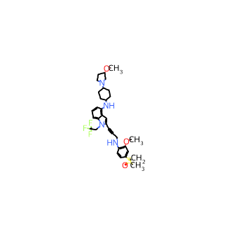 C=S(C)(=O)c1ccc(NCC#Cc2cc3c(NC4CCC(N5CCC(OC)C5)CC4)cccc3n2CC(F)(F)F)c(OC)c1